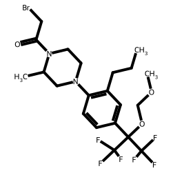 CCCc1cc(C(OCOC)(C(F)(F)F)C(F)(F)F)ccc1N1CCN(C(=O)CBr)C(C)C1